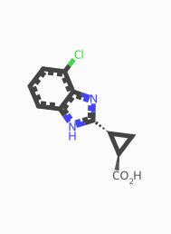 O=C(O)[C@@H]1C[C@H]1c1nc2c(Cl)cccc2[nH]1